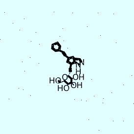 OC[C@H]1O[C@H](C#Cc2cc(C#Cc3ccccc3)cc3cn[nH]c23)[C@@H](O)[C@@H](O)[C@@H]1O